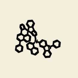 c1ccc(-c2ccc3c4c(cccc24)C2(c4ccccc4-c4ccc(N(c5ccc6c(c5)c5ccccc5n6-c5ccccc5)c5cccc6ccccc56)cc42)c2ccccc2-3)cc1